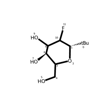 CC(C)(C)[C@@H]1OC(CO)[C@@H](O)C(O)C1F